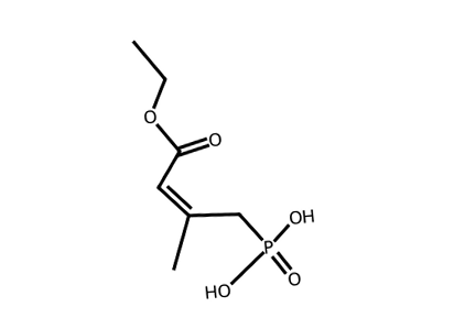 CCOC(=O)C=C(C)CP(=O)(O)O